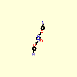 N#Cc1ccc(OCCCN2CCN(CCCOc3ccc(C#N)cc3)C(=O)C2)cc1